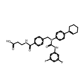 O=C(O)CCNC(=O)c1ccc(CN(C(=O)Nc2cc(F)cc(F)c2)c2ccc(C3=CCCCC3)cc2)cc1